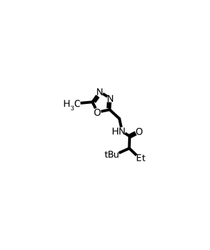 CCC(C(=O)NCc1nnc(C)o1)C(C)(C)C